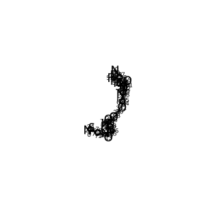 Cc1ncsc1-c1ccc(CNC(=O)[C@@H]2CCCN2C(=O)C(N(C)C(=O)COCCCCOc2ccc(-c3ccc(N4C(=S)N(c5ccc(C#N)c(C(F)(F)F)c5F)C(=O)C4(C)C)cn3)cc2)C(C)(C)C)cc1